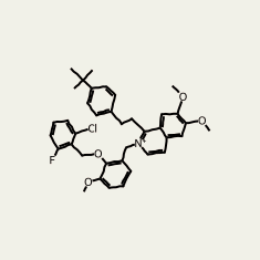 COc1cc2cc[n+](Cc3cccc(OC)c3OCc3c(F)cccc3Cl)c(CCc3ccc(C(C)(C)C)cc3)c2cc1OC